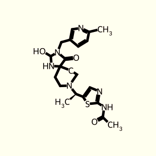 CC(=O)Nc1ncc([C@@H](C)N2CCC3(CC2)NC(O)N(Cc2ccc(C)nc2)C3=O)s1